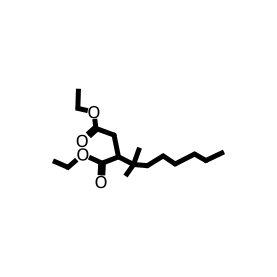 CCCCCCC(C)(C)C(CC(=O)OCC)C(=O)OCC